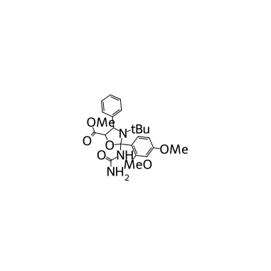 COC(=O)C1OC(NC(N)=O)(c2ccc(OC)cc2OC)N(C(C)(C)C)C1c1ccccc1